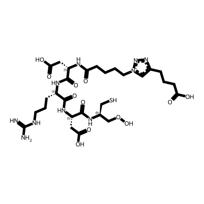 N=C(N)NCCC[C@H](NC(=O)[C@H](CC(=O)O)NC(=O)CCCCn1cc(CCCC(=O)O)nn1)C(=O)N[C@@H](CC(=O)O)C(=O)N[C@@H](CS)COO